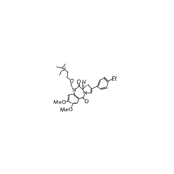 CCc1ccc(C2=CN3C(=O)c4cc(OC)c(OC)cc4N(COCC[Si](C)(C)C)C(=O)[C@@H]3C2)cc1